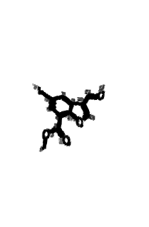 COC(=O)c1cc(I)cc2c(C=O)coc12